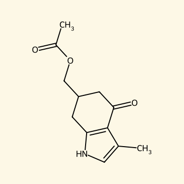 CC(=O)OCC1CC(=O)c2c(C)c[nH]c2C1